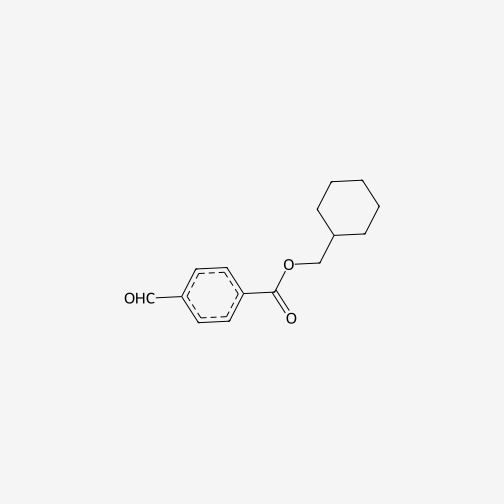 O=Cc1ccc(C(=O)OCC2CCCCC2)cc1